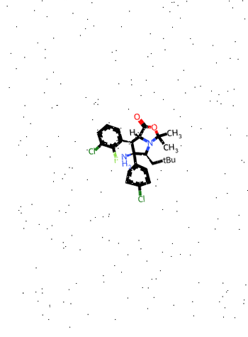 CC(C)(C)C[C@@H]1N2[C@@H](C(=O)OC2(C)C)[C@H](c2cccc(Cl)c2F)[C@@]1(N)c1ccc(Cl)cc1